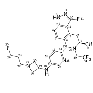 C[C@@H]1Cc2c(ccc3[nH]nc(F)c23)[C@@H](c2ccc(NC3CN(CCCF)C3)cn2)N1CC(F)(F)F